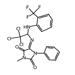 CN1C(=O)C(=NC(Nc2ccccc2C(F)(F)F)C(Cl)(Cl)Cl)N(c2ccccc2)C1=O